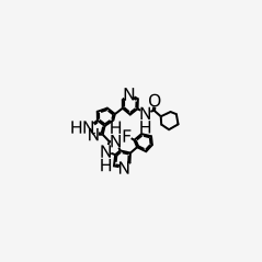 O=C(Nc1cncc(-c2ccc3[nH]nc(C4Nc5cncc(-c6ccccc6F)c5N4)c3c2)c1)C1CCCCC1